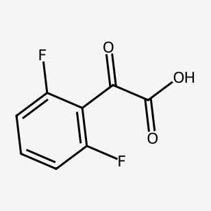 O=C(O)C(=O)c1c(F)cccc1F